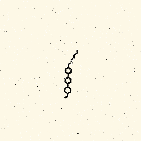 C=CC1CCC(c2ccc(-c3ccc(COCC=CCC)cc3)cc2)CC1